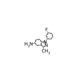 Cc1nn(-c2cccc(F)c2)c2ccc(N)cc12